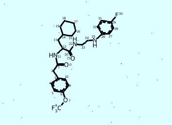 O=C(Cc1ccc(OC(F)(F)F)cc1)NC(CC1CCCCC1)C(=O)NCCNc1ccc(F)cc1